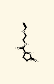 C=COCCOC(=O)C1CCC(=O)O1